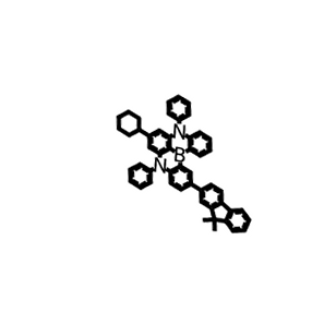 CC1(C)c2ccccc2-c2ccc(-c3ccc4c(c3)B3c5ccccc5N(c5ccccc5)c5cc(C6CCCCC6)cc(c53)N4c3ccccc3)cc21